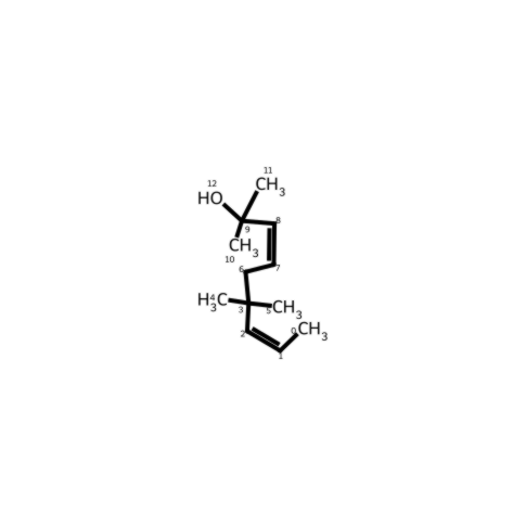 C/C=C\C(C)(C)C/C=C\C(C)(C)O